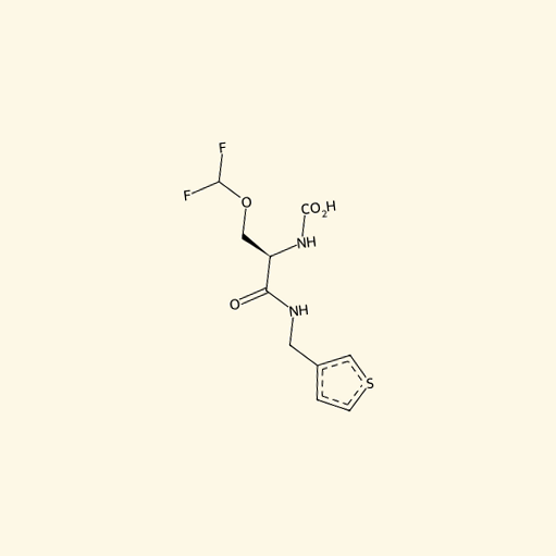 O=C(O)N[C@H](COC(F)F)C(=O)NCc1ccsc1